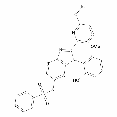 CCOC1=NC(c2nc3ncc(NS(=O)(=O)c4ccncc4)nc3n2-c2c(O)cccc2OC)=C=C=C1